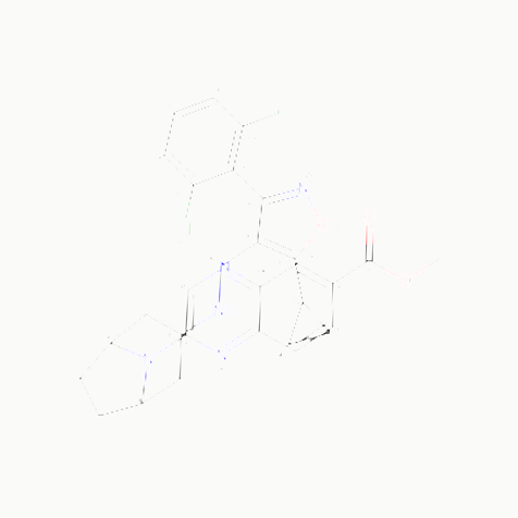 COC(=O)c1ccc2nc(N3C4CCC3CC(NCc3c(-c5c(Cl)cccc5Cl)noc3C3CC3)C4)cnc2c1